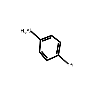 CC(C)c1cc[c]([AlH2])cc1